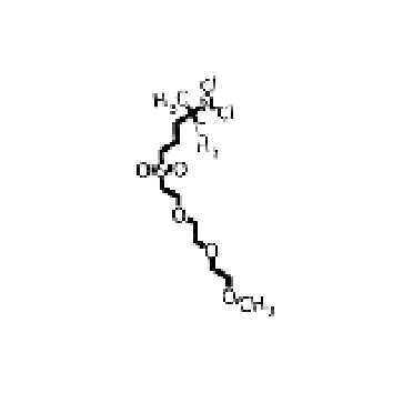 COCCOCCOCCS(=O)(=O)CCCC(C)(C)N(Cl)Cl